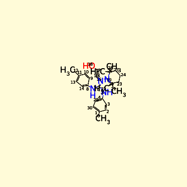 Cc1ccc(NC(Nc2ccc(C)cc2)=[N+](CCO)N2C(C)(C)CCCC2(C)C)cc1